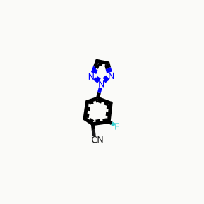 N#Cc1ccc(-n2nccn2)cc1F